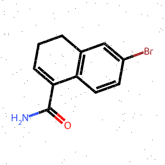 NC(=O)C1=CCCc2cc(Br)ccc21